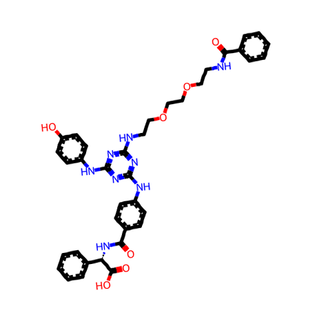 O=C(NCCOCCOCCNc1nc(Nc2ccc(O)cc2)nc(Nc2ccc(C(=O)N[C@H](C(=O)O)c3ccccc3)cc2)n1)c1ccccc1